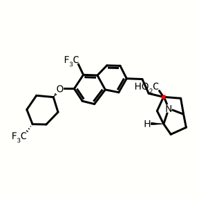 O=C(O)C1CC2CC[C@H](C1)N2CCCc1ccc2c(C(F)(F)F)c(O[C@H]3CC[C@@H](C(F)(F)F)CC3)ccc2c1